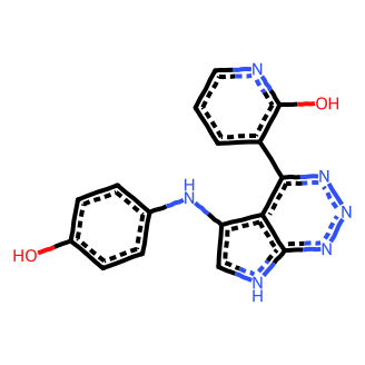 Oc1ccc(Nc2c[nH]c3nnnc(-c4cccnc4O)c23)cc1